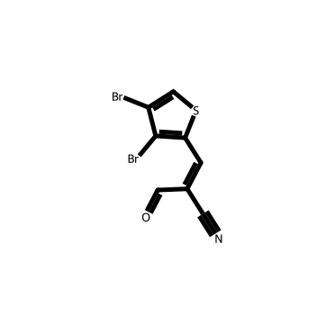 N#CC(C=O)=Cc1scc(Br)c1Br